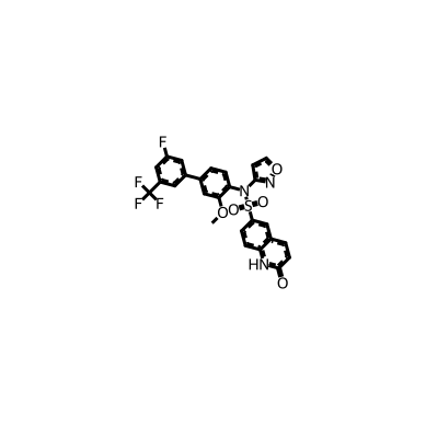 COc1cc(-c2cc(F)cc(C(F)(F)F)c2)ccc1N(c1ccon1)S(=O)(=O)c1ccc2[nH]c(=O)ccc2c1